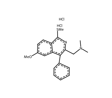 COc1ccc2c(SC)nc(CN(C)C)c(-c3ccccc3)c2c1.Cl.Cl